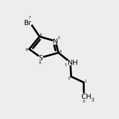 CCCNc1nc(Br)cs1